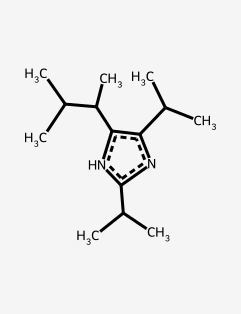 CC(C)c1nc(C(C)C)c(C(C)C(C)C)[nH]1